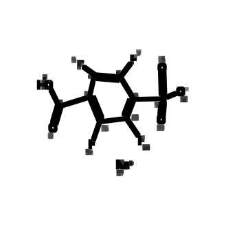 O=C(O)c1c(F)c(F)c(S(=O)(=O)[O-])c(F)c1F.[Na+]